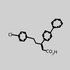 O=C(O)C=C(CCc1ccc(Cl)cc1)c1ccc(-c2ccccc2)cc1